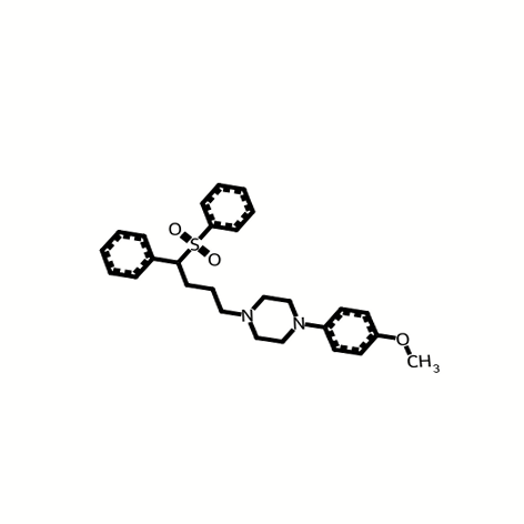 COc1ccc(N2CCN(CCCC(c3ccccc3)S(=O)(=O)c3ccccc3)CC2)cc1